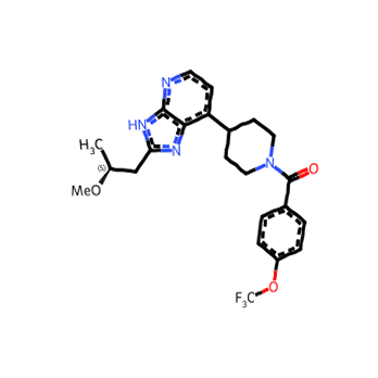 CO[C@@H](C)Cc1nc2c(C3CCN(C(=O)c4ccc(OC(F)(F)F)cc4)CC3)ccnc2[nH]1